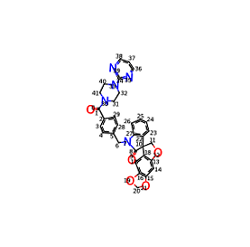 O=C(c1ccc(CN2C(=O)C3(COc4cc5c(cc43)OCO5)c3ccccc32)cc1)N1CCN(c2ncccn2)CC1